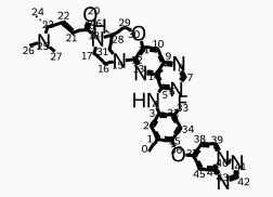 Cc1cc(Nc2ncnc3cc4c(nc23)N2CCN(C(=O)/C=C/[C@@H](C)N(C)C)[C@@H](CO4)C2)c(F)cc1Oc1ccn2ncnc2c1